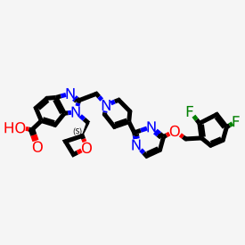 O=C(O)c1ccc2nc(CN3CC=C(c4nccc(OCc5ccc(F)cc5F)n4)CC3)n(C[C@@H]3CCO3)c2c1